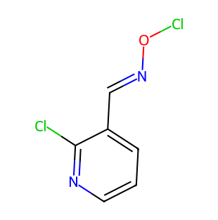 ClON=Cc1cccnc1Cl